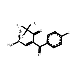 CN(C)/C=C(/C(=O)c1ccc(Cl)cc1)C(=O)C(C)(C)C